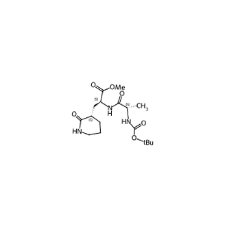 COC(=O)[C@H](C[C@@H]1CCCNC1=O)NC(=O)[C@H](C)NC(=O)OC(C)(C)C